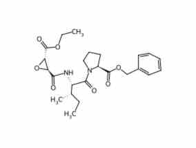 CCOC(=O)[C@H]1O[C@@H]1C(=O)N[C@H](C(=O)N1CCC[C@H]1C(=O)OCc1ccccc1)[C@@H](C)CC